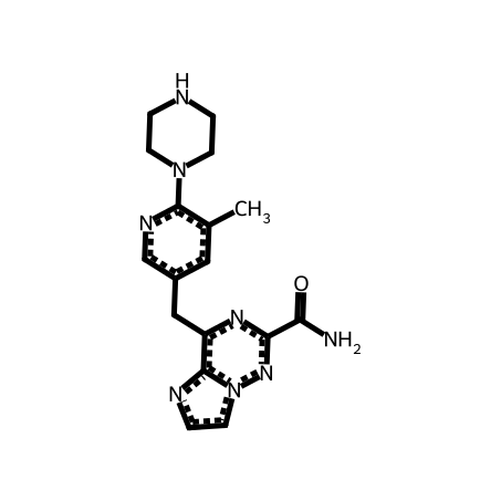 Cc1cc(Cc2nc(C(N)=O)nn3ccnc23)cnc1N1CCNCC1